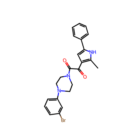 Cc1[nH]c(-c2ccccc2)cc1C(=O)C(=O)N1CCN(c2cccc(Br)c2)CC1